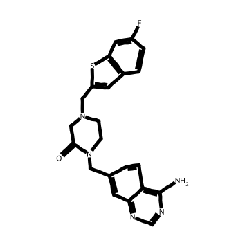 Nc1ncnc2cc(CN3CCN(Cc4cc5ccc(F)cc5s4)CC3=O)ccc12